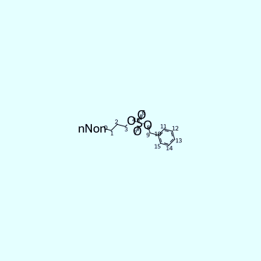 CCCCCCCCCCCCOS(=O)(=O)OCc1ccccc1